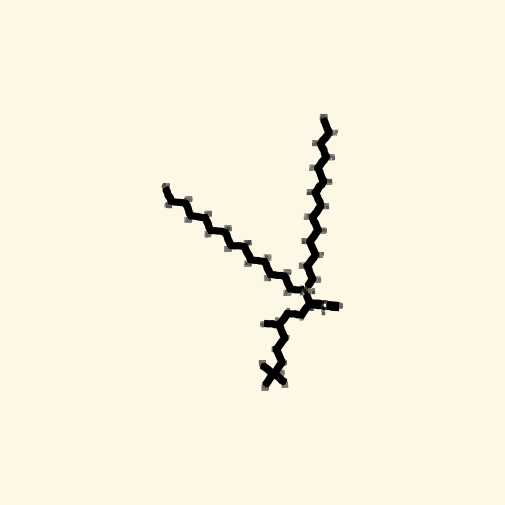 C=C=C(CCC(C)CCCC(C)(C)C)N(CCCCCCCCCCCCCC)CCCCCCCCCCCCCC